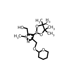 Cn1nc(COC2CCCCO2)c(B2OC(C)(C)C(C)(C)O2)c1CO